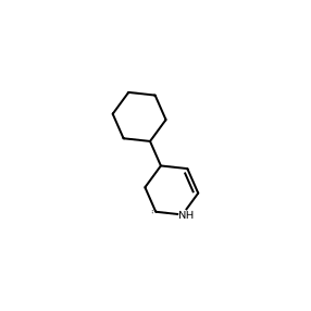 [C]1CC(C2CCCCC2)C=CN1